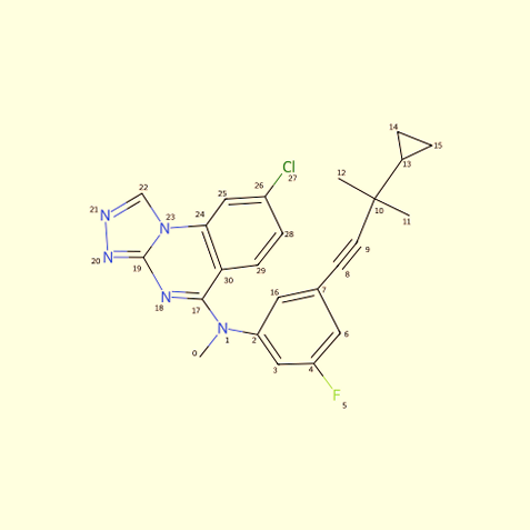 CN(c1cc(F)cc(C#CC(C)(C)C2CC2)c1)c1nc2nncn2c2cc(Cl)ccc12